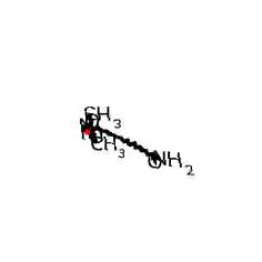 CCOc1ncnc(OCC)c1CCCCCCCCC=CCCCCCCCC(N)=O